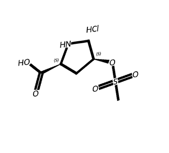 CS(=O)(=O)O[C@@H]1CN[C@H](C(=O)O)C1.Cl